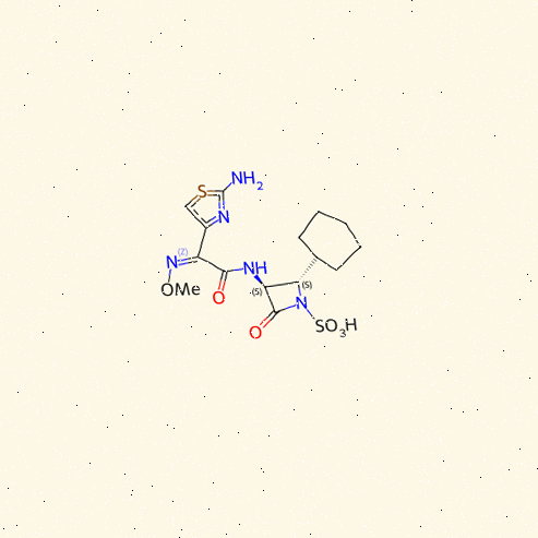 CO/N=C(\C(=O)N[C@@H]1C(=O)N(S(=O)(=O)O)[C@H]1C1CCCCC1)c1csc(N)n1